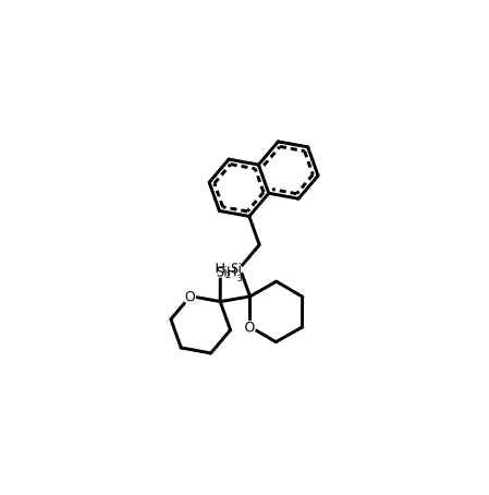 [SiH3]C1(C2([SiH2]Cc3cccc4ccccc34)CCCCO2)CCCCO1